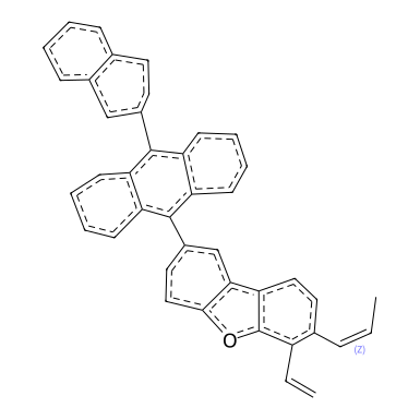 C=Cc1c(/C=C\C)ccc2c1oc1ccc(-c3c4ccccc4c(-c4ccc5ccccc5c4)c4ccccc34)cc12